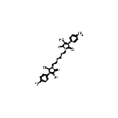 CCC1C(c2ccc(C(F)(F)F)cc2)=C(O)C(=O)N1CCCCCCN1C(=O)C(O)=C(c2ccc(C(F)(F)F)cc2)C1CC